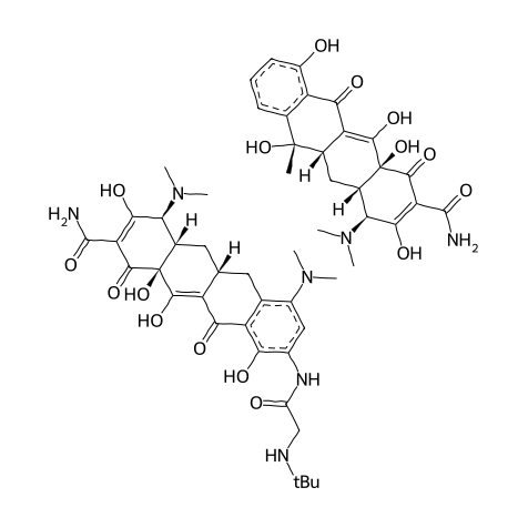 CN(C)[C@@H]1C(O)=C(C(N)=O)C(=O)[C@@]2(O)C(O)=C3C(=O)c4c(O)cccc4[C@@](C)(O)[C@H]3C[C@@H]12.CN(C)c1cc(NC(=O)CNC(C)(C)C)c(O)c2c1C[C@H]1C[C@H]3[C@H](N(C)C)C(O)=C(C(N)=O)C(=O)[C@@]3(O)C(O)=C1C2=O